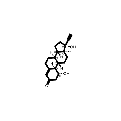 C#C[C@]1(O)CC[C@H]2[C@@H]3CCC4=CC(=O)C[C@@H](O)[C@@H]4[C@H]3CC[C@@]21C